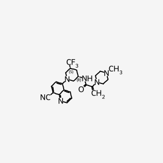 C=C(C(=O)N[C@@H]1C[C@H](C(F)(F)F)CN(c2ccc(C#N)c3ncccc23)C1)N1CCN(C)CC1